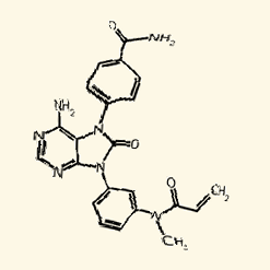 C=CC(=O)N(C)c1cccc(-n2c(=O)n(-c3ccc(C(N)=O)cc3)c3c(N)ncnc32)c1